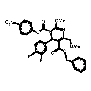 COCC1=C(C(=O)OCc2ccccc2)C(c2ccc(F)c(F)c2)N(C(=O)Oc2ccc([N+](=O)[O-])cc2)C(OC)=N1